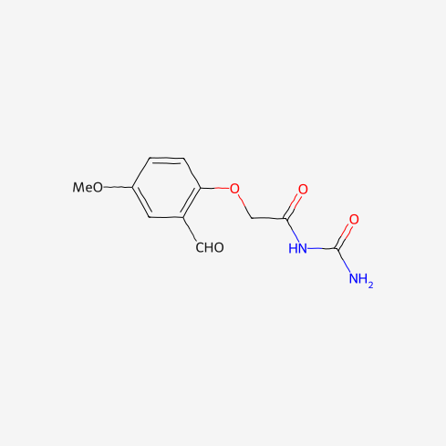 COc1ccc(OCC(=O)NC(N)=O)c(C=O)c1